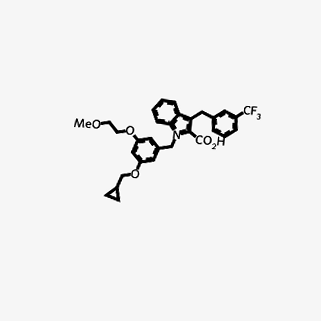 COCCOc1cc(Cn2c(C(=O)O)c(Cc3cccc(C(F)(F)F)c3)c3ccccc32)cc(OCC2CC2)c1